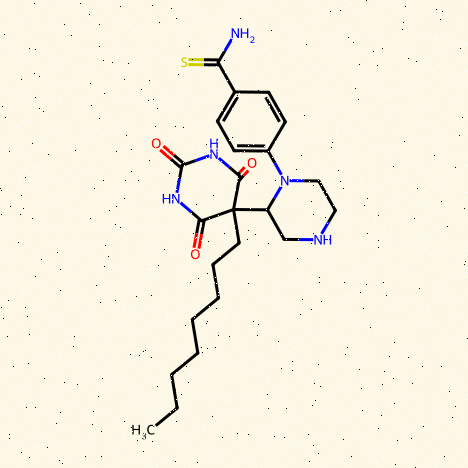 CCCCCCCCC1(C2CNCCN2c2ccc(C(N)=S)cc2)C(=O)NC(=O)NC1=O